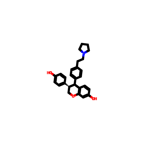 Oc1ccc([C@H]2COc3cc(O)ccc3C2c2ccc(CCN3CCCC3)cc2)cc1